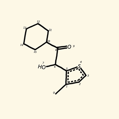 Cc1ccsc1C(O)C(=O)C1CCCCC1